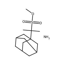 COS(=O)(=O)C(C)(C)C12CC3CC(CC(C3)C1)C2.N